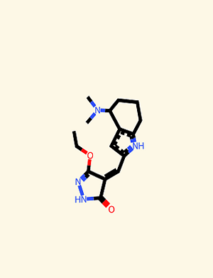 CCOC1=NNC(=O)C1=Cc1cc2c([nH]1)CCCC2N(C)C